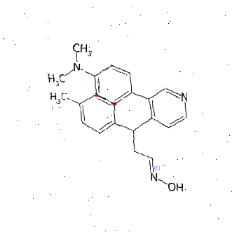 Cc1ccc(C(C/C=N/O)c2ccncc2-c2ccc(N(C)C)cc2)cc1